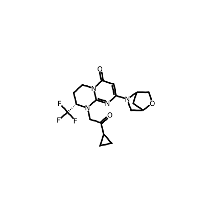 O=C(CN1c2nc(N3CC4CC3CO4)cc(=O)n2CC[C@H]1C(F)(F)F)C1CC1